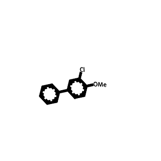 COc1c[c]c(-c2ccccc2)cc1Cl